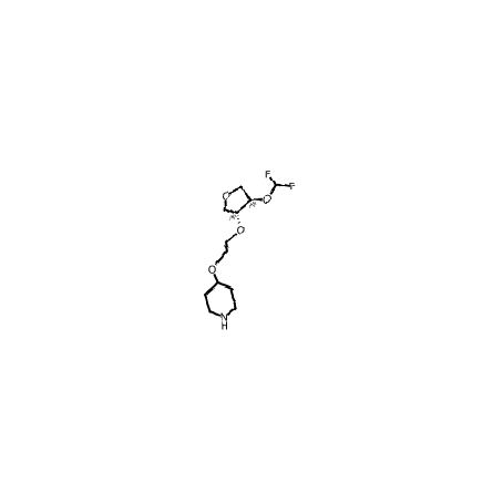 FC(F)O[C@@H]1COC[C@H]1OCCOC1CCNCC1